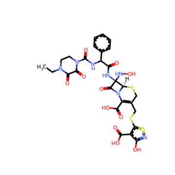 CCN1CCN(C(=O)NC(C(=O)N[C@]2(NO)C(=O)N3C(C(=O)O)=C(CSc4snc(O)c4C(=O)O)CS[C@@H]32)c2ccccc2)C(=O)C1=O